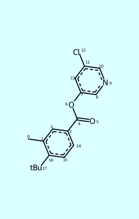 Cc1cc(C(=O)Oc2cncc(Cl)c2)ccc1C(C)(C)C